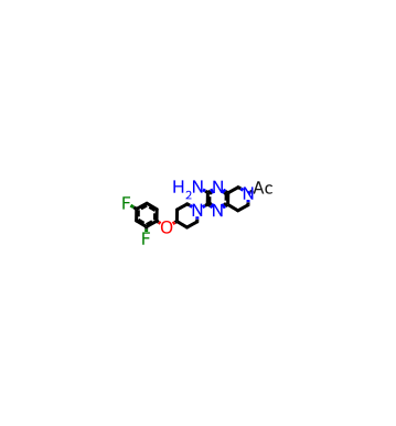 CC(=O)N1CCc2nc(N3CCC(Oc4ccc(F)cc4F)CC3)c(N)nc2C1